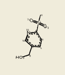 CS(=O)(=O)c1ccc(CO)cn1